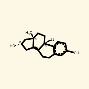 CC[C@]12CC[C@@]3(C)C[C@@H](O)CC3=C1CCc1cc(O)ccc12